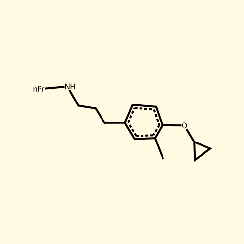 CCCNCCCc1ccc(OC2CC2)c(C)c1